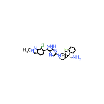 Cn1cc2ccc(-c3n[nH]c4nc(N5CC[C@@H]6[C@H](C5)[C@@]6(CN)c5ccccc5F)cnc34)c(Cl)c2n1